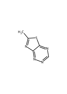 Cc1nc2nncnc2s1